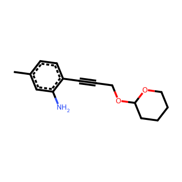 Cc1ccc(C#CCOC2CCCCO2)c(N)c1